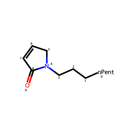 CCCCCCCCN1CC=CC1=O